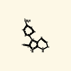 O=C(O)c1ccc(-n2c3c([nH]c2=O)NCC=C3)cc1